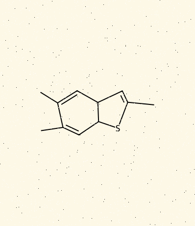 CC1=CC2C=C(C)C(C)=CC2S1